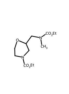 CCOC(=O)N(C)CC1CN(C(=O)OCC)CCO1